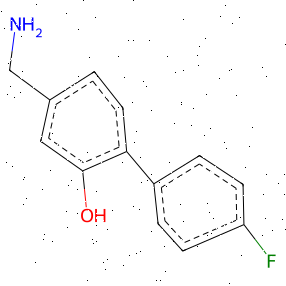 NCc1ccc(-c2ccc(F)cc2)c(O)c1